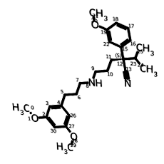 COc1cc(CCCNCCC[C@@](C#N)(c2cccc(OC)c2)C(C)C)cc(OC)c1